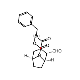 CC(C)(C)OC(=O)N1[C@H]2CC[C@@H]1[C@@H](C=O)N(C(=O)OCc1ccccc1)C2